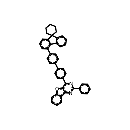 c1ccc(-c2nc(-c3ccc(-c4ccc(-c5cccc6c5-c5ccccc5C65CCCCC5)cc4)cc3)c3oc4ccccc4c3n2)cc1